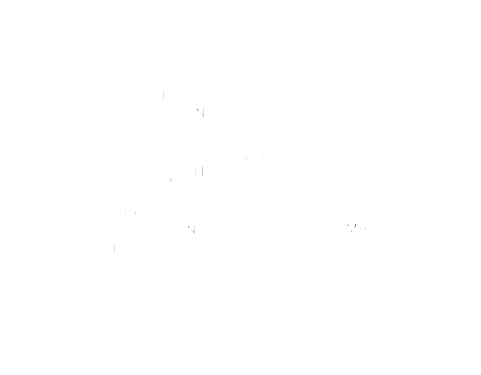 COC(=O)CCCCC[N+]1=C(/C=C/C=C2/N(C)c3ccccc3C2(C)C)C(C)(C)c2ccccc21